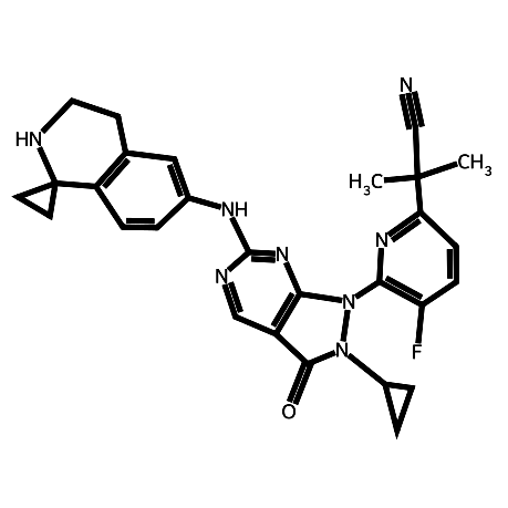 CC(C)(C#N)c1ccc(F)c(-n2c3nc(Nc4ccc5c(c4)CCNC54CC4)ncc3c(=O)n2C2CC2)n1